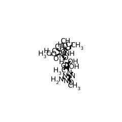 CCOC(=O)[C@@H](CC(C)C)NP(=O)(N[C@H](CC(C)C)C(=O)OCC)OC[C@H]1OC2(C)[C@@H](n3cnc4c(OC)nc(N)nc43)C2(O)C1O